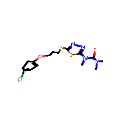 CN(C)C(=O)N(C)c1nnc(SCCCOc2ccc(Cl)cc2)s1